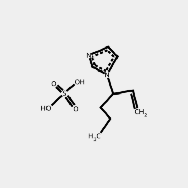 C=CC(CCC)n1ccnc1.O=S(=O)(O)O